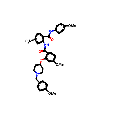 COc1ccc(CN2CCC(Oc3cc(OC)ccc3C(=O)Nc3cc([N+](=O)[O-])ccc3C(=O)Nc3ccc(OC)cc3)CC2)cc1